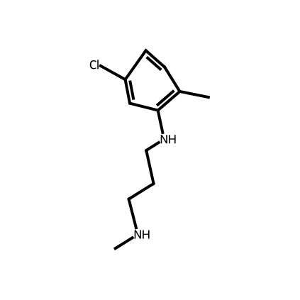 CNCCCNc1cc(Cl)ccc1C